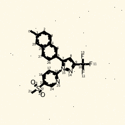 Cc1ccc2cc(-c3cc(C(F)(F)F)nn3-c3ccc(S(C)(=O)=O)cn3)ccc2c1